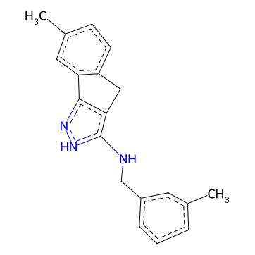 Cc1cccc(CNc2[nH]nc3c2Cc2ccc(C)cc2-3)c1